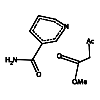 COC(=O)CC(C)=O.NC(=O)c1cccnc1